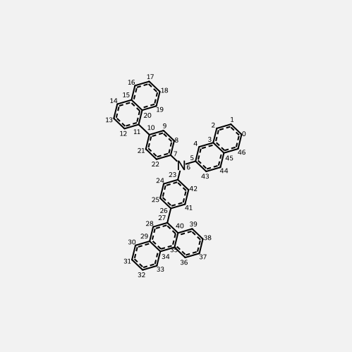 c1ccc2cc(N(c3ccc(-c4cccc5ccccc45)cc3)c3ccc(-c4cc5ccccc5c5ccccc45)cc3)ccc2c1